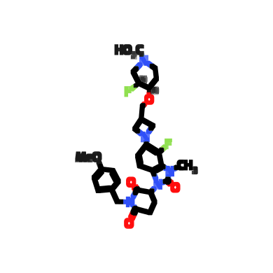 COc1ccc(CN2C(=O)CCC(n3c(=O)n(C)c4c(F)c(N5CC(CO[C@@H]6CCN(C(=O)O)C[C@@H]6F)C5)ccc43)C2=O)cc1